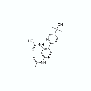 CC(=O)Nc1cc(NC(=O)O)c(-c2ccc(C(C)(C)O)cn2)cn1